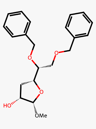 CO[C@H]1O[C@@H]([C@@H](COCc2ccccc2)OCc2ccccc2)C[C@H]1O